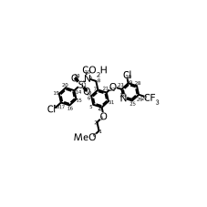 COCCOc1ccc(CN(C(=O)O)S(=O)(=O)c2ccc(Cl)cc2)c(Oc2ncc(C(F)(F)F)cc2Cl)c1